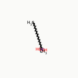 CCCCCCCCCCCCCCCCCCCC[N+](C)(O)O